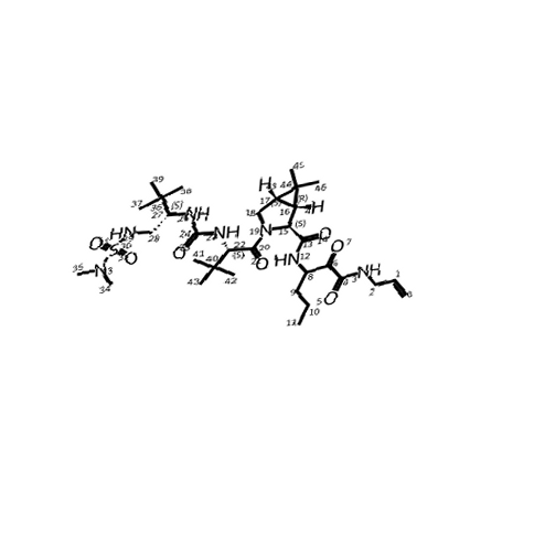 C=CCNC(=O)C(=O)C(CCC)NC(=O)[C@@H]1[C@@H]2[C@H](CN1C(=O)[C@@H](NC(=O)N[C@H](CNS(=O)(=O)N(C)C)C(C)(C)C)C(C)(C)C)C2(C)C